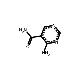 NC(=O)c1[c]ncnc1N